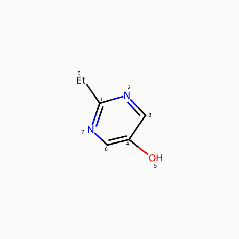 CCc1ncc(O)cn1